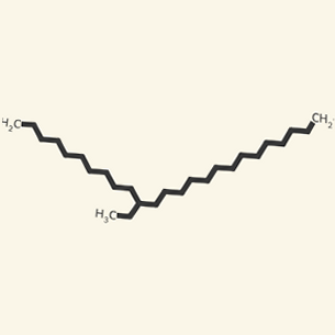 [CH2]CCCCCCCCCCCCCC(CC)CCCCCCCCC[CH2]